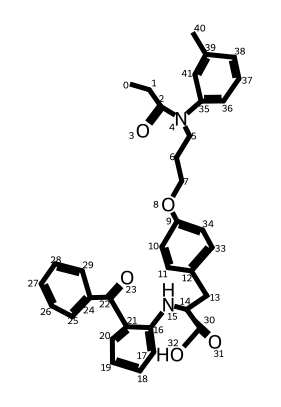 CCC(=O)N(CCCOc1ccc(CC(Nc2ccccc2C(=O)c2ccccc2)C(=O)O)cc1)c1cccc(C)c1